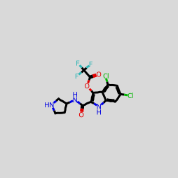 O=C(NC1CCNC1)c1[nH]c2cc(Cl)cc(Cl)c2c1OC(=O)C(F)(F)F